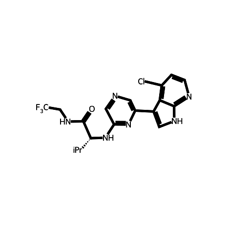 CC(C)[C@@H](Nc1cncc(-c2c[nH]c3nccc(Cl)c23)n1)C(=O)NCC(F)(F)F